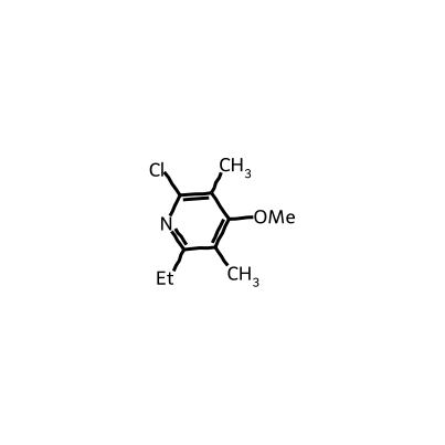 CCc1nc(Cl)c(C)c(OC)c1C